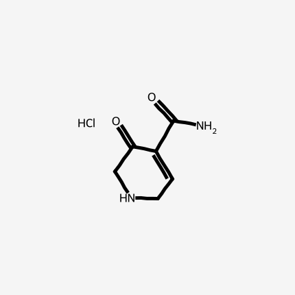 Cl.NC(=O)C1=CCNCC1=O